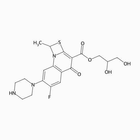 CC1Sc2c(C(=O)OCC(O)CO)c(=O)c3cc(F)c(N4CCNCC4)cc3n21